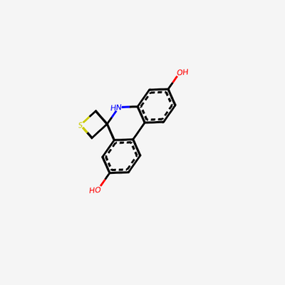 Oc1ccc2c(c1)NC1(CSC1)c1cc(O)ccc1-2